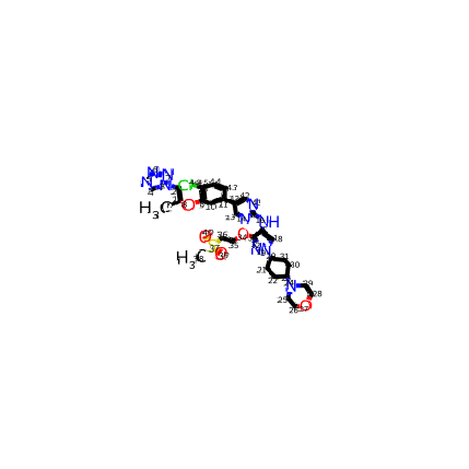 CC(Cn1cnnn1)Oc1cc(-c2cnc(Nc3cn(C4CCC(N5CCOCC5)CC4)nc3OCCS(C)(=O)=O)nc2)ccc1Cl